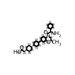 CC1CN(C(=O)[C@H](N)c2ccccc2)c2ccc(-c3ccc([C@H]4CC[C@H](CC(=O)O)CC4)cc3)cc2O1